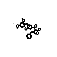 COc1ccc(CN2CC(C(=O)[C@@H]3C(=O)OCC3Cc3ccccc3)CC2=O)c(OC)c1